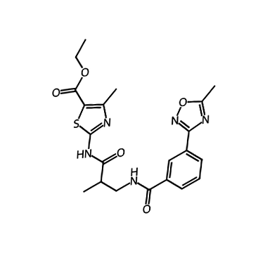 CCOC(=O)c1sc(NC(=O)C(C)CNC(=O)c2cccc(-c3noc(C)n3)c2)nc1C